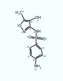 Cc1onc(NS(=O)(=O)c2ccc(N)cc2)c1O